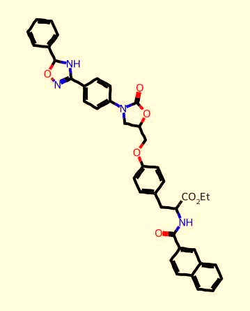 CCOC(=O)C(Cc1ccc(OCC2CN(c3ccc(C4=NOC(c5ccccc5)N4)cc3)C(=O)O2)cc1)NC(=O)c1ccc2ccccc2c1